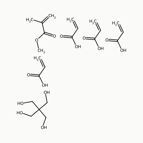 C=C(C)C(=O)OC.C=CC(=O)O.C=CC(=O)O.C=CC(=O)O.C=CC(=O)O.OCC(CO)(CO)CO